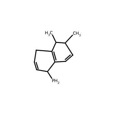 CC1C=CC2=C(CC=CC2P)C1C